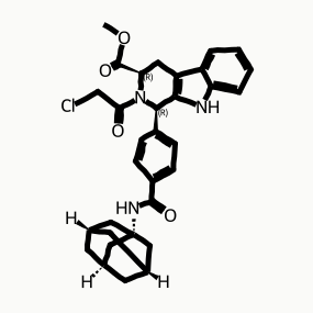 COC(=O)[C@H]1Cc2c([nH]c3ccccc23)[C@@H](c2ccc(C(=O)N[C@]34C[C@H]5C[C@H](C[C@H](C5)C3)C4)cc2)N1C(=O)CCl